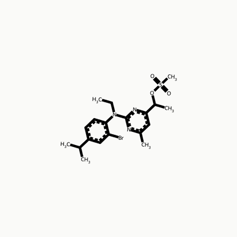 CCN(c1nc(C)cc(C(C)OS(C)(=O)=O)n1)c1ccc(C(C)C)cc1Br